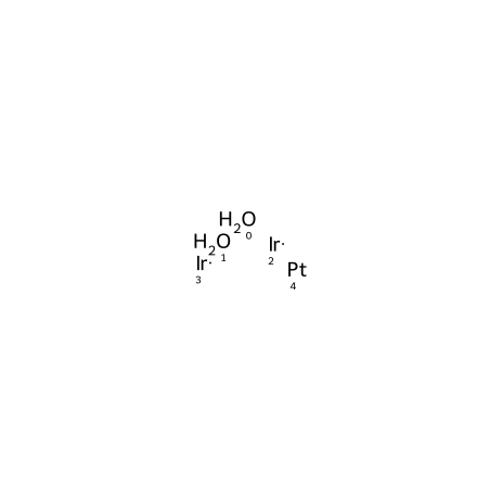 O.O.[Ir].[Ir].[Pt]